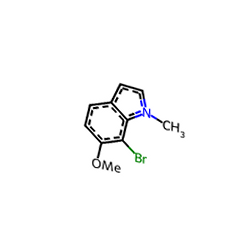 COc1ccc2ccn(C)c2c1Br